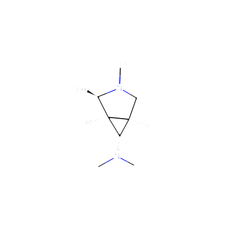 CN(C)[C@H]1[C@@H]2CN(C(C)(C)C)[C@H](C(C)(C)C)[C@@H]21